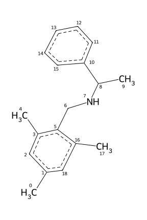 Cc1cc(C)c(CNC(C)c2ccccc2)c(C)c1